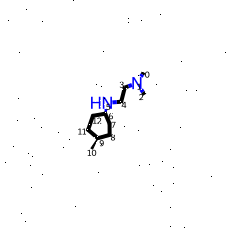 CN(C)CCN[C@H]1CC[C@@H](C)CC1